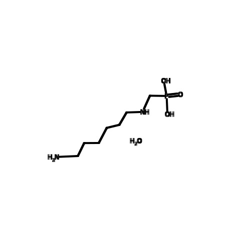 NCCCCCCNCP(=O)(O)O.O